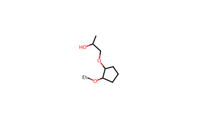 CCOC1CCCC1OCC(C)O